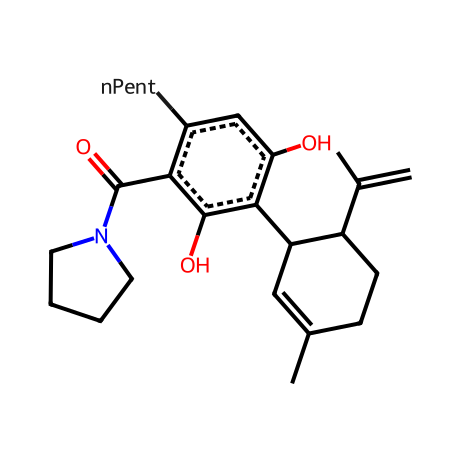 C=C(C)C1CCC(C)=CC1c1c(O)cc(CCCCC)c(C(=O)N2CCCC2)c1O